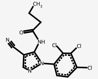 CCCC(=O)Nc1c(C#N)cnn1-c1ccc(Cl)c(Cl)c1Cl